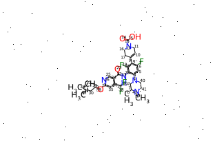 CC1CN(c2cc(F)c(C3=CCN(C(=O)O)CC3)c(F)c2NC(=O)c2cnc(OCC[Si](C)(C)C)cc2C(F)F)CCN1C